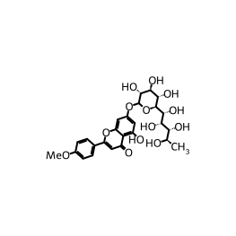 COc1ccc(-c2cc(=O)c3c(O)cc(OC4O[C@H]([C@H](O)[C@@H](O)[C@H](O)[C@@H](C)O)[C@@H](O)[C@H](O)[C@H]4O)cc3o2)cc1